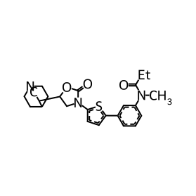 CCC(=O)N(C)c1cccc(-c2ccc(N3CC(C4CN5CCC4CC5)OC3=O)s2)c1